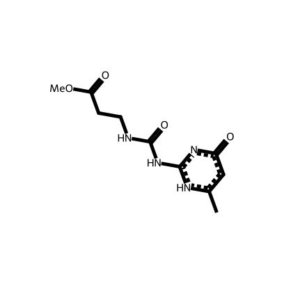 COC(=O)CCNC(=O)Nc1nc(=O)cc(C)[nH]1